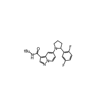 CC(C)(C)NC(=O)c1cnn2ccc(N3CCCC3c3cc(F)ccc3F)cc12